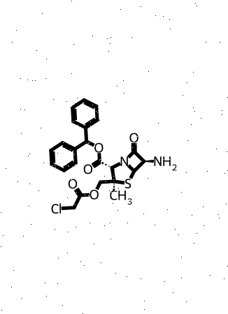 C[C@@]1(COC(=O)CCl)SC2[C@H](N)C(=O)N2[C@H]1C(=O)OC(c1ccccc1)c1ccccc1